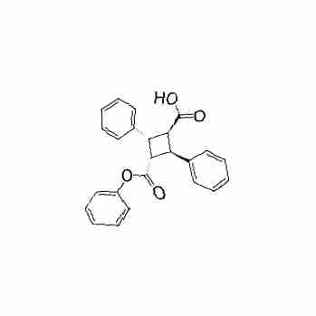 O=C(O)[C@H]1[C@@H](c2ccccc2)[C@H](C(=O)Oc2ccccc2)[C@@H]1c1ccccc1